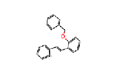 [c]1ccccc1C=Cc1ccccc1OCc1ccccc1